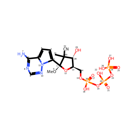 CO[C@@]1(c2ccc3c(N)ncnn23)O[C@H](COP(=O)(O)OP(=O)(O)OP(=O)(O)O)[C@@H](O)C1(C)C#N